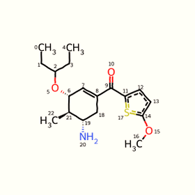 CCC(CC)O[C@@H]1C=C(C(=O)c2ccc(OC)s2)C[C@H](N)[C@H]1C